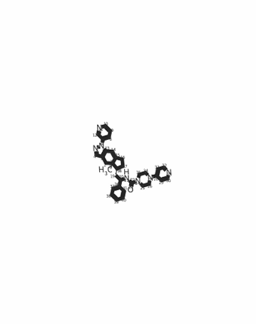 C[C@]12Cc3cnn(-c4cccnc4)c3C=C1CC[C@@H]2CC(NC(=O)N1CCN(c2ccncc2)CC1)c1ccccc1